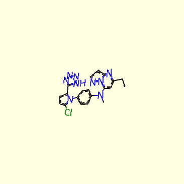 CCc1cc(N(C)c2ccc(-n3c(Cl)ccc3-c3nnn[nH]3)cc2)n2nccc2n1